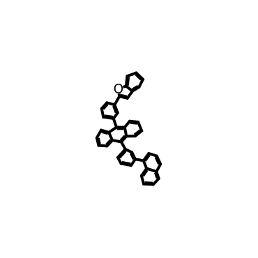 c1cc(-c2cc3ccccc3o2)cc(-c2c3ccccc3c(-c3cccc(-c4cccc5ccccc45)c3)c3ccccc23)c1